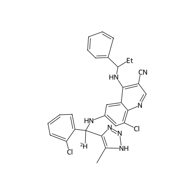 [2H]C(Nc1cc(Cl)c2ncc(C#N)c(NC(CC)c3ccccc3)c2c1)(c1ccccc1Cl)c1nn[nH]c1C